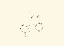 COC=C(C(=O)OC)c1ccccc1Oc1cncc(Cl)n1